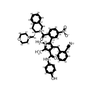 Cc1c(C(=O)Nc2ccc(O)cc2)c(Cc2ccccc2C#N)c(-c2cc([N+](=O)[O-])ccc2C(=O)N2Cc3ccccc3C[C@H]2CN2CCOCC2)n1C